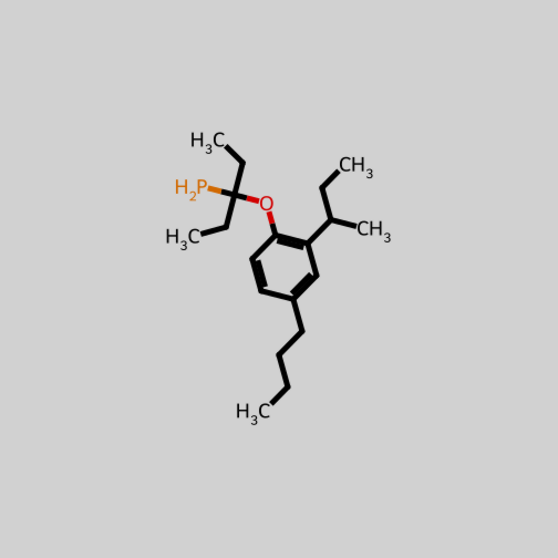 CCCCc1ccc(OC(P)(CC)CC)c(C(C)CC)c1